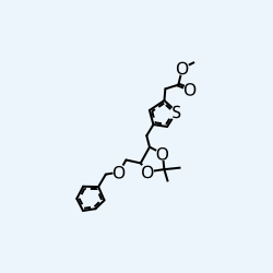 COC(=O)Cc1cc(CC2OC(C)(C)OC2COCc2ccccc2)cs1